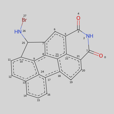 O=C1NC(=O)c2cc3c4c5c(ccc6cccc(c7ccc1c2c74)c65)C3NBr